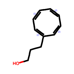 OCCCC1=C/C=C\C=C/C=C\1